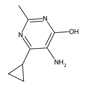 Cc1nc(O)c(N)c(C2CC2)n1